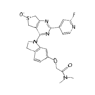 CN(C)C(=O)COc1ccc2c(c1)N(c1nc(-c3ccnc(F)c3)nc3c1C[S+]([O-])C3)CC2